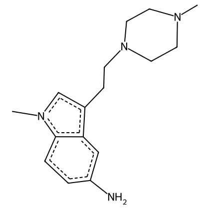 CN1CCN(CCc2cn(C)c3ccc(N)cc23)CC1